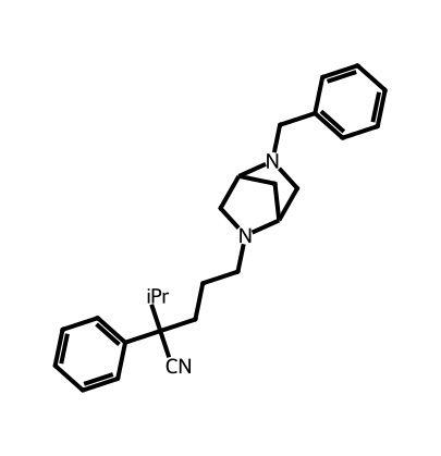 CC(C)C(C#N)(CCCN1CC2CC1CN2Cc1ccccc1)c1ccccc1